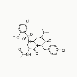 COc1ccc(Cl)cc1S(=O)(=O)N1CC(NC(C)=O)C(=O)N2C(Cc3ccc(Cl)cc3)C(=O)N(C(C)C)CC21